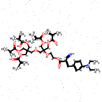 C=C(C)C(=O)OCC(COCC(COC(=O)C(=C)C)(COC(=O)C(=C)C)OCCOC(=O)/C(C#N)=C/c1ccc(N(CC)CC)cc1)(COC(=O)C(=C)C)COC(=O)C(=C)C